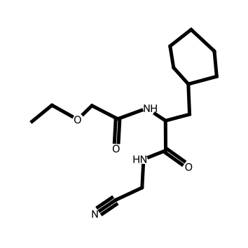 CCOCC(=O)NC(CC1CCCCC1)C(=O)NCC#N